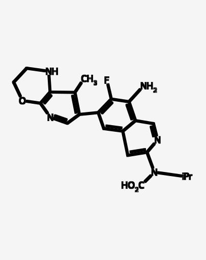 Cc1c(-c2cc3cc(N(C(=O)O)C(C)C)ncc3c(N)c2F)cnc2c1NCCO2